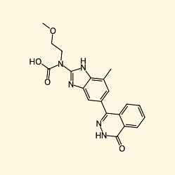 COCCN(C(=O)O)c1nc2cc(-c3n[nH]c(=O)c4ccccc34)cc(C)c2[nH]1